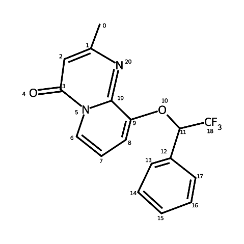 Cc1cc(=O)n2cccc(OC(c3ccccc3)C(F)(F)F)c2n1